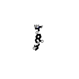 NC/C(=C/F)COc1ccc2c(c1)CCN(Cc1ccon1)C2=O